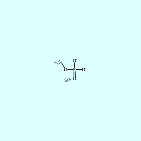 O=P([O-])([O-])O[SiH3].[Sr+2]